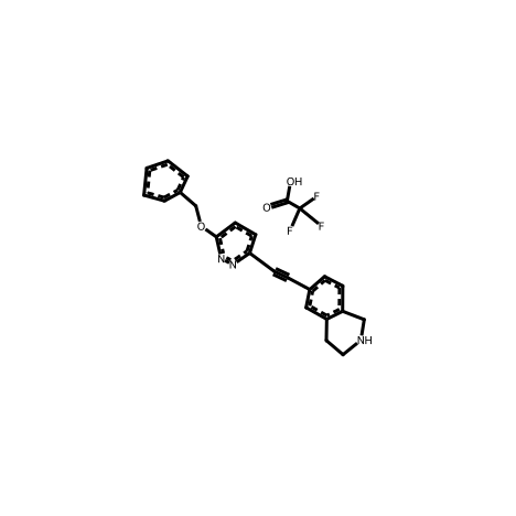 C(#Cc1ccc(OCc2ccccc2)nn1)c1ccc2c(c1)CCNC2.O=C(O)C(F)(F)F